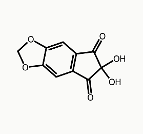 O=C1c2cc3c(cc2C(=O)C1(O)O)OCO3